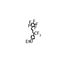 CCOc1ccc(C(CC=Cc2c(F)c(F)c(F)c(F)c2F)C(F)(F)F)cc1